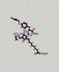 CC#CCOc1ccc(C[C@H](NC(=O)[C@@H](/C=C/CCCCCCC(=O)CCCCCCC)[C@@](O)(C(=O)O)C(C(N)=O)c2nccs2)C(=O)OC)cc1